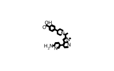 CC(c1cc2c(-c3ccc(N)nc3)ccnc2n1C)N1CCC(c2ccc(C(=O)O)cc2)CC1